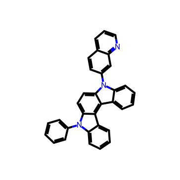 c1ccc(-n2c3ccccc3c3c4c5ccccc5n(-c5ccc6cccnc6c5)c4ccc32)cc1